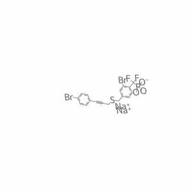 O=P([O-])([O-])C(F)(F)c1ccc(CSCC#Cc2ccc(Br)cc2)cc1Br.[Na+].[Na+]